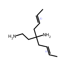 C/C=C/CC(N)(C/C=C/C)CCN